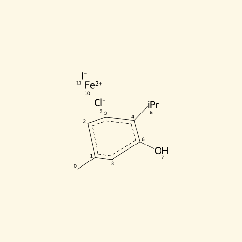 Cc1ccc(C(C)C)c(O)c1.[Cl-].[Fe+2].[I-]